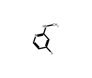 CNc1cc([S])ccn1